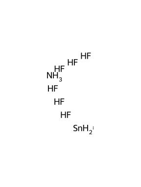 F.F.F.F.F.F.N.[SnH2]